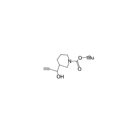 C#CC(O)C1CCCN(C(=O)OC(C)(C)C)C1